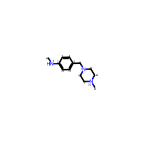 CNc1ccc(CN2CCN(C)CC2)cc1